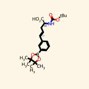 CC(C)(C)OC(=O)N[C@@H](C/C=C/c1cccc(B2OC(C)(C)C(C)(C)O2)c1)C(=O)O